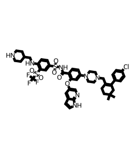 CC1(C)CCC(CN2CCN(c3ccc(C(=O)NS(=O)(=O)c4ccc(NCC5CCNCC5)c(S(=O)(=O)C(F)(F)F)c4)c(Oc4cnc5[nH]ccc5c4)c3)CC2)=C(c2ccc(Cl)cc2)C1